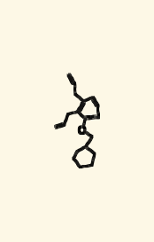 C=CCc1cccc(OCC2CCCCC2)c1CC=C